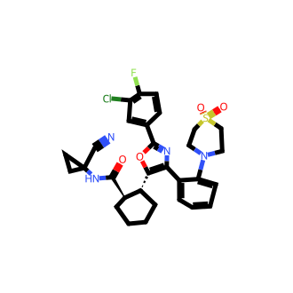 N#CC1(NC(=O)[C@@H]2CCCC[C@H]2c2oc(-c3ccc(F)c(Cl)c3)nc2-c2ccccc2N2CCS(=O)(=O)CC2)CC1